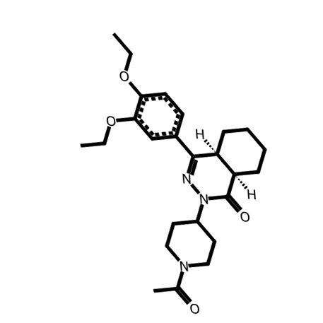 CCOc1ccc(C2=NN(C3CCN(C(C)=O)CC3)C(=O)[C@@H]3CCCC[C@H]23)cc1OCC